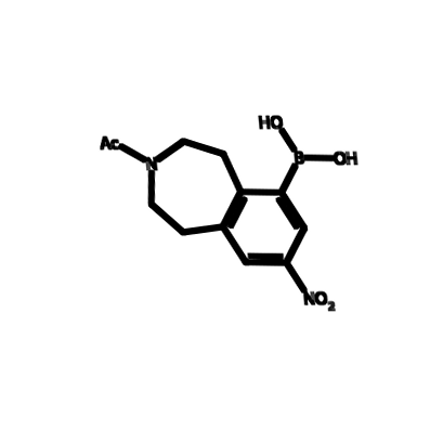 CC(=O)N1CCc2cc([N+](=O)[O-])cc(B(O)O)c2CC1